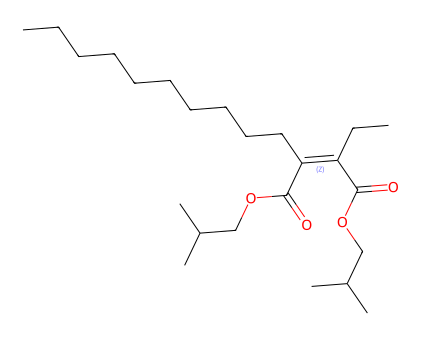 CCCCCCCCCC/C(C(=O)OCC(C)C)=C(\CC)C(=O)OCC(C)C